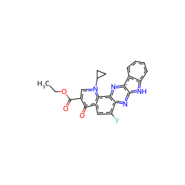 CCOC(=O)c1cn(C2CC2)c2c(cc(F)c3nc4[nH]c5ccccc5c4nc32)c1=O